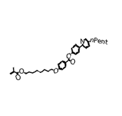 C=C(C)C(=O)OCCCCCCCCOc1ccc(C(=O)Oc2ccc(-c3ccc(CCCCC)cn3)cc2)cc1